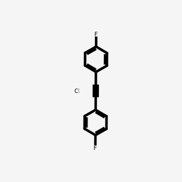 Fc1ccc(C#Cc2ccc(F)cc2)cc1.[C]